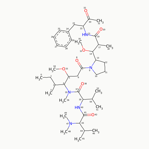 CCC(C)C(C(CC(=O)N1CCCC1C(OC)C(C)C(=O)NC(Cc1ccccc1)C(C)=O)OC)N(C)C(=O)C(NC(=O)C(C(C)C)N(C)C)C(C)C